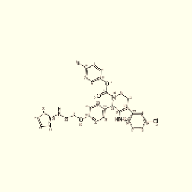 O=C(Oc1ccc(F)cc1)N1CCc2c([nH]c3ccc(Cl)cc23)C1c1ccc(OCCNc2nccs2)cc1